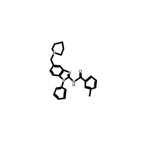 Cc1cccc(C(=O)Nc2nc3cc(CN4CCCCC4)ccc3n2-c2ccccc2)c1